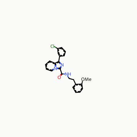 COc1ccccc1CCNC(=O)c1nc(-c2cccc(Cl)c2)c2ccccn12